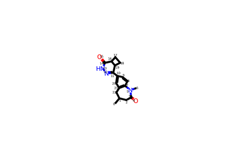 CC1CC(=O)N(C)c2ccc(C3=NNC(=O)C4CCC34)cc2C1